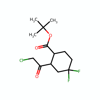 CC(C)(C)OC(=O)C1CCC(F)(F)CC1C(=O)CCl